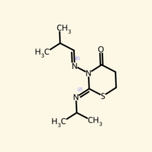 CC(C)/C=N/N1C(=O)CCS/C1=N\C(C)C